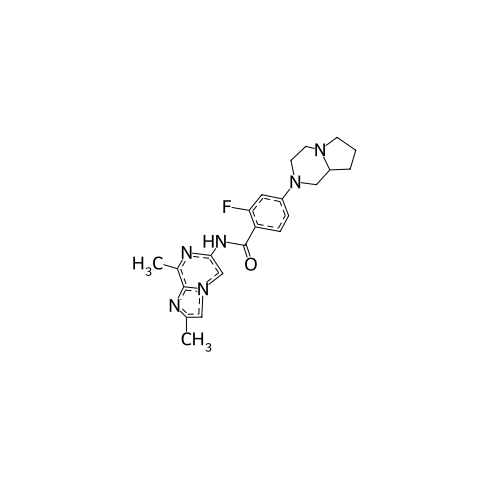 Cc1cn2cc(NC(=O)c3ccc(N4CCN5CCCC5C4)cc3F)nc(C)c2n1